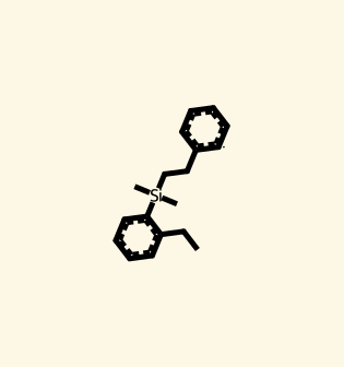 CCc1ccccc1[Si](C)(C)CCc1[c]cccc1